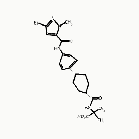 CCc1cc(C(=O)Nc2ccc([C@H]3CC[C@@H](C(=O)NC(C)(C)C(=O)O)CC3)cc2)n(C)n1